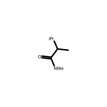 CNC(=O)C(C)C(C)C